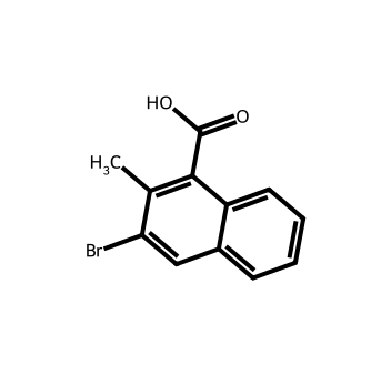 Cc1c(Br)cc2ccccc2c1C(=O)O